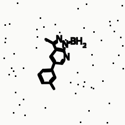 Bn1nc(C)c2cc(-c3cccc(C)c3)cnc21